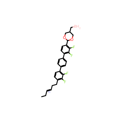 BCC1COC(c2ccc(-c3ccc(-c4ccc(CC/C=C/CC)c(F)c4F)cc3)c(F)c2F)OC1